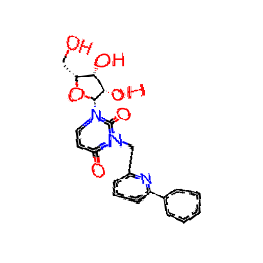 O=c1ccn([C@@H]2O[C@H](CO)[C@H](O)[C@@H]2O)c(=O)n1Cc1cccc(-c2ccccc2)n1